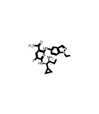 CC[C@H](N)[C@H](Nc1nc(Nc2ccc3c(cnn3CC)c2)c(C(N)=O)cc1F)C1CC1